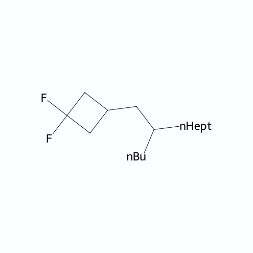 CCCCCCCC(CCCC)CC1CC(F)(F)C1